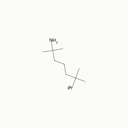 CC(C)C(C)(C)CCCC(C)(C)N